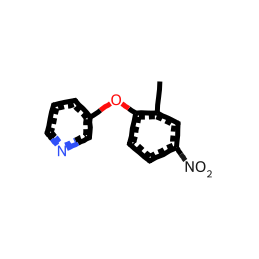 Cc1cc([N+](=O)[O-])ccc1Oc1cccnc1